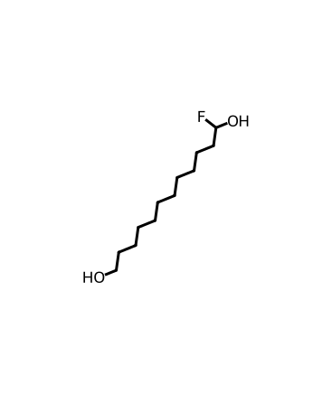 OCCCCCCCCCCCC(O)F